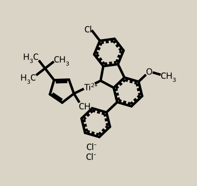 COc1ccc(-c2ccccc2)c2c1-c1ccc(Cl)cc1[CH]2[Ti+2][C]1(C)C=CC(C(C)(C)C)=C1.[Cl-].[Cl-]